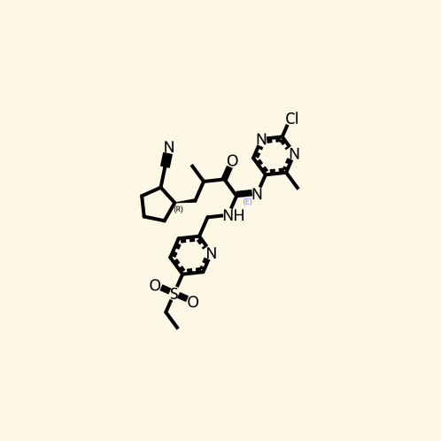 CCS(=O)(=O)c1ccc(CN/C(=N/c2cnc(Cl)nc2C)C(=O)C(C)C[C@H]2CCCC2C#N)nc1